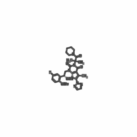 COc1ccc(F)cc1[C@H](Cn1c(=O)n(C(C)(C)C(=O)N2CCCCC2)c(=O)c2c(C)c(-n3nccn3)sc21)OCC(C)C